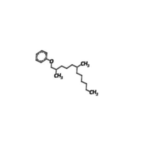 CCCCCCC(C)CCCC(C)COc1ccccc1